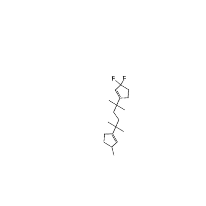 CC1C=C(C(C)(C)CCC(C)(C)C2=CC(F)(F)CC2)CC1